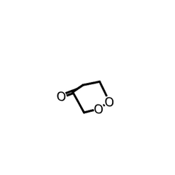 O=C1CCOOC1